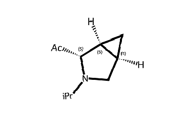 CC(=O)[C@@H]1[C@H]2C[C@H]2CN1C(C)C